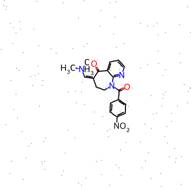 CN(C)/C=C1/CCN(C(=O)c2ccc([N+](=O)[O-])cc2)c2ncccc2C1=O